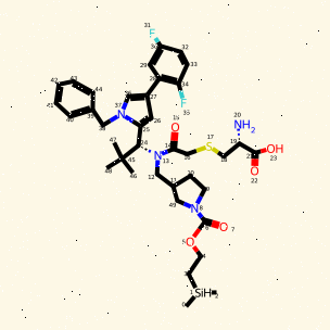 C[SiH](C)CCOC(=O)N1CCC(CN(C(=O)CSC[C@H](N)C(=O)O)[C@@H](c2cc(-c3cc(F)ccc3F)cn2Cc2ccccc2)C(C)(C)C)C1